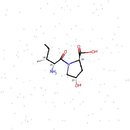 CC[C@@H](C)[C@@H](N)C(=O)N1C[C@@H](O)C[C@@H]1C(=O)O